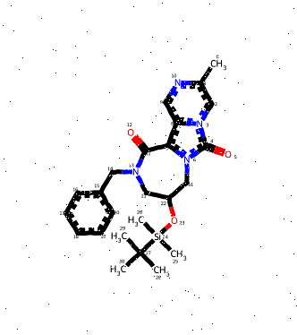 Cc1cn2c(=O)n3c(c2cn1)C(=O)N(Cc1ccccc1)CC(O[Si](C)(C)C(C)(C)C)C3